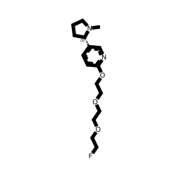 CN1CCC[C@H]1c1ccc(OCCOCCOCCF)nc1